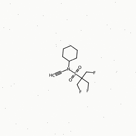 C#CN(C1CCCCC1)S(=O)(=O)C(CF)(CF)CF